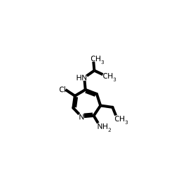 CCC1C=C(NC(C)C)C(Cl)=CN=C1N